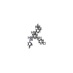 Fc1ccc(/C=N/Nc2nc(NCc3ccc(Cl)nc3)nc(Nc3ccc(F)c(C(F)(F)F)c3)n2)cc1